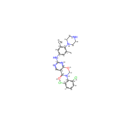 Cc1cc(Nc2ncc3c(n2)OCN(c2c(Cl)cccc2Cl)C3=O)cc(C#N)c1N1CCNCC1